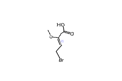 CO/C(=C\CBr)C(=O)O